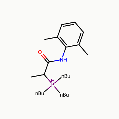 CCCC[PH](CCCC)(CCCC)C(C)C(=O)Nc1c(C)cccc1C